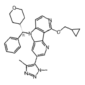 Cc1nnn(C)c1-c1cnc2c3c(OCC4CC4)nccc3n([C@H](c3ccccc3)C3CCOCC3)c2c1